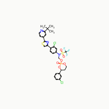 CC(C)(C)c1cc(-c2nc(-c3ccc(N(COP4(=O)OCCC(c5cccc(Cl)c5)O4)S(=O)(=O)C(F)(F)F)cc3Cl)cs2)ccn1